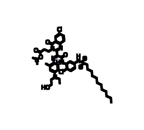 CCCCCCCCCCCCS(=O)(=O)Nc1ccc(Cl)c(NC(=O)/C(=N\c2ccc(N(CC)CCO)cc2C)c2nc3ccc(Cl)cc3c(=O)n2CCC(=O)ON(C)C)c1